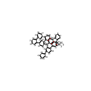 CC1(C)c2ccccc2-c2ccc(N(c3ccc(-c4ccccc4-c4ccccc4)cc3-c3ccccc3)c3cc(-c4ccccc4)ccc3-c3ccccc3)cc21